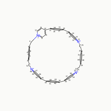 c1cc2ccc1C[n+]1ccc(cc1)-c1ccc(cc1)-c1cc[n+](cc1)Cc1ccc(cc1)C[n+]1ccc(cc1)-c1ccc(cc1)-c1cc[n+](cc1)C2